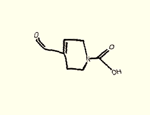 O=CC1=CCN(C(=O)O)CC1